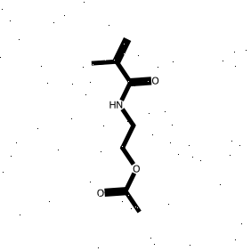 C=C(C)C(=O)NCCOC(C)=O